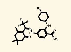 CC1=C(/C(=N\Nc2ccc(C(N)=O)c(N[C@H]3CC[C@H](O)CC3)c2)C(F)(F)F)C(=O)CC(C)(C)C1